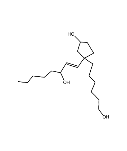 CCCCCC(O)C=CC1(CCCCCCO)CCC(O)C1